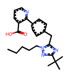 CCCCCn1nc(C(C)(C)C)nc1Cc1ccc(-c2ncccc2C(=O)O)cc1